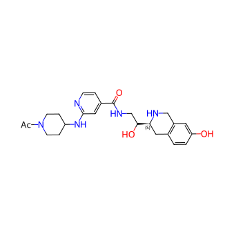 CC(=O)N1CCC(Nc2cc(C(=O)NCC(O)[C@@H]3Cc4ccc(O)cc4CN3)ccn2)CC1